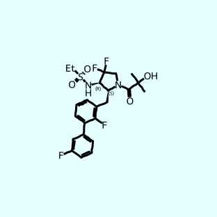 CCS(=O)(=O)N[C@@H]1[C@H](Cc2cccc(-c3cccc(F)c3)c2F)N(C(=O)C(C)(C)O)CC1(F)F